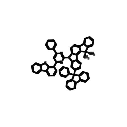 CC1(C)c2ccccc2-c2ccc3c(c21)c1ccc(C2(c4ccccc4)c4ccccc4-c4ccccc42)cc1n3-c1nc(-c2ccccc2)cc(-c2cccc3c2sc2ccccc23)n1